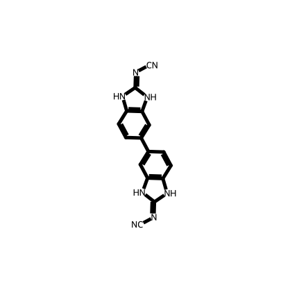 N#CN=c1[nH]c2ccc(-c3ccc4[nH]c(=NC#N)[nH]c4c3)cc2[nH]1